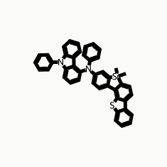 C[Si]1(C)c2cc(N(c3ccccc3)c3cccc4c3c3ccccc3n4-c3ccccc3)ccc2-c2c1ccc1c2sc2ccccc21